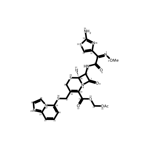 CO/N=C(\C(=O)NC1C(=O)N2C(C(=O)OCOC(C)=O)=C(CSc3cccc4nccn34)CS[C@@H]12)c1csc(N)n1